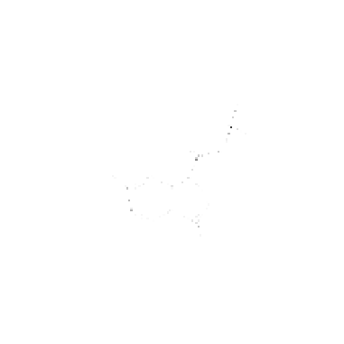 Cc1cn(C(=O)OC(C)(C)C)c2cc(N)ccc12